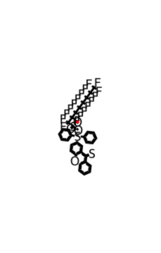 O=S(=O)(OS(c1ccccc1)(c1ccccc1)c1ccc2oc3ccccc3c(=S)c2c1)C(F)(F)C(F)(F)C(F)(F)C(F)(F)C(F)(F)C(F)(F)C(F)(F)C(F)(F)F